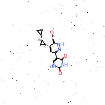 O=C=C1NN=C(c2c[nH]c(=O)[nH]c2=O)C=C1[C@@H]1C[C@H]1C1CC1